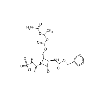 CC(OC(N)=O)OC(=O)OC[C@H]1[C@@H](NC(=O)OCc2ccccc2)C(=O)N1C(=O)NS(=O)(=O)Cl